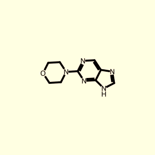 c1nc2cnc(N3CCOCC3)nc2[nH]1